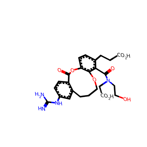 N=C(N)Nc1ccc2c(c1)CCCOc1c(ccc(CCC(=O)O)c1C(=O)N(CCO)CC(=O)O)OC2=O